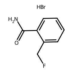 Br.NC(=O)c1ccccc1CF